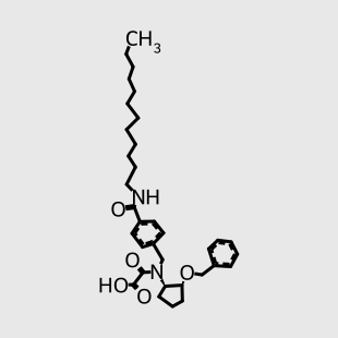 CCCCCCCCCCCCNC(=O)c1ccc(CN(C(=O)C(=O)O)[C@@H]2CCC[C@H]2OCc2ccccc2)cc1